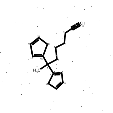 C#CCCCCC(C)(C1=CC=CC1)C1=CC=CC1